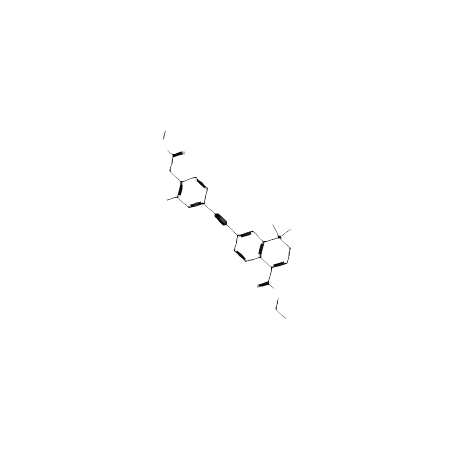 CCOC(=O)C1=CCC(C)(C)c2cc(C#Cc3ccc(CC(=O)OC)c(F)c3)ccc21